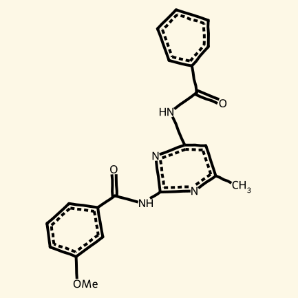 COc1cccc(C(=O)Nc2nc(C)cc(NC(=O)c3ccccc3)n2)c1